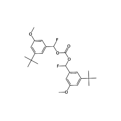 COc1cc(C(F)OC(=O)OC(F)c2cc(OC)cc(C(C)(C)C)c2)cc(C(C)(C)C)c1